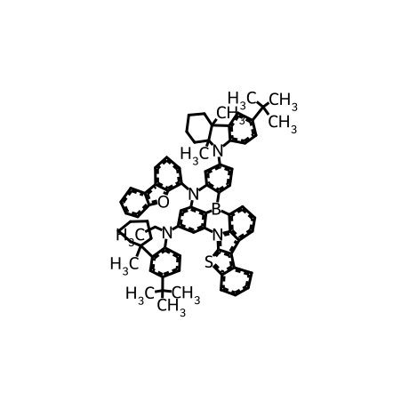 CCN(c1cc2c3c(c1)-n1c4sc5ccccc5c4c4cccc(c41)B3c1ccc(N3c4ccc(C(C)(C)C)cc4C4(C)CCCCC34C)cc1N2c1cccc2c1oc1ccccc12)c1ccc(C(C)(C)C)cc1C1(C)CCCCC1